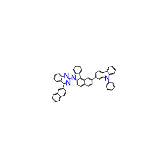 c1ccc(-n2c3ccccc3c3ccc(-c4ccc5ccc6c(c5c4)c4ccccc4n6-c4nc(-c5ccc6ccccc6c5)c5ccccc5n4)cc32)cc1